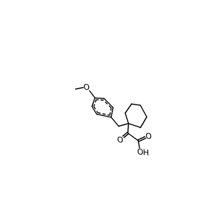 COc1ccc(CC2(C(=O)C(=O)O)CCCCC2)cc1